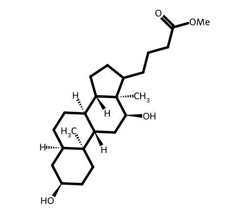 COC(=O)CCCC1CC[C@H]2[C@@H]3CC[C@@H]4C[C@H](O)CC[C@]4(C)[C@H]3C[C@H](O)[C@]12C